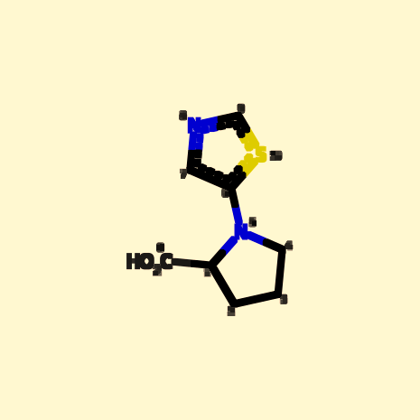 O=C(O)C1CCCN1c1cncs1